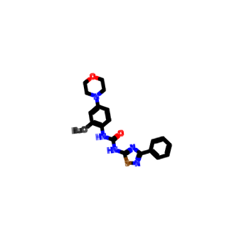 CC(C)COc1cc(N2CCOCC2)ccc1NC(=O)Nc1nc(-c2ccccc2)ns1